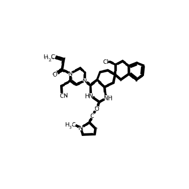 C=CC(=O)N1CCN(C2NC(OCC3CCCN3C)NC3CC4(CCC32)Cc2ccccc2CC4Cl)CC1CC#N